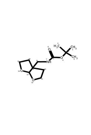 CC(C)(C)OC(=O)NCC12CCOC1OCC2